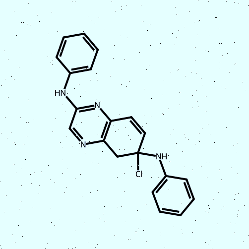 ClC1(Nc2ccccc2)C=Cc2nc(Nc3ccccc3)cnc2C1